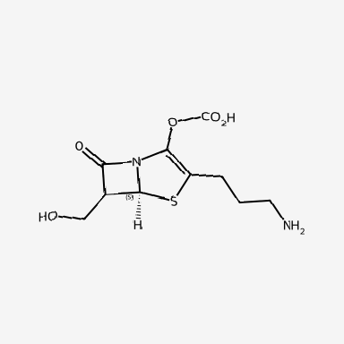 NCCCC1=C(OC(=O)O)N2C(=O)C(CO)[C@@H]2S1